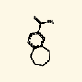 NC(=S)c1ccc2c(c1)CCCCC2